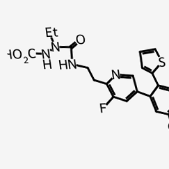 CCN(NC(=O)O)C(=O)NCCc1ncc(-c2cc(Cl)cc(F)c2-c2cccs2)cc1F